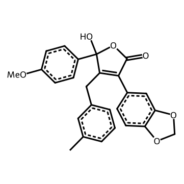 COc1ccc(C2(O)OC(=O)C(c3ccc4c(c3)OCO4)=C2Cc2cccc(C)c2)cc1